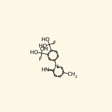 Cc1ccc(=N)n(-c2ccc(C(O)(O)F)c(C(O)(O)F)c2)c1